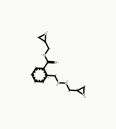 O=C(OCC1CO1)c1ccccc1COOCC1CO1